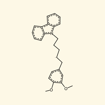 COc1ccc(C[CH]CCCn2c3ccccc3c3ccccc32)cc1OC